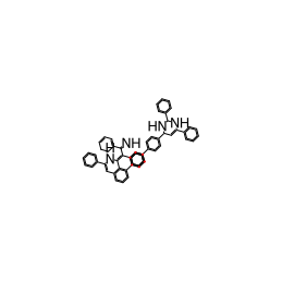 N=C(C1=CC=CCC1)/C(=C1\NC(c2ccccc2)=Cc2cccc(-c3ccc(-c4ccc(C5C=C(c6ccccc6)NC(c6ccccc6)N5)cc4)cc3)c21)c1ccccc1